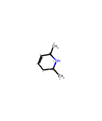 C[C]1CC=CC(C)N1